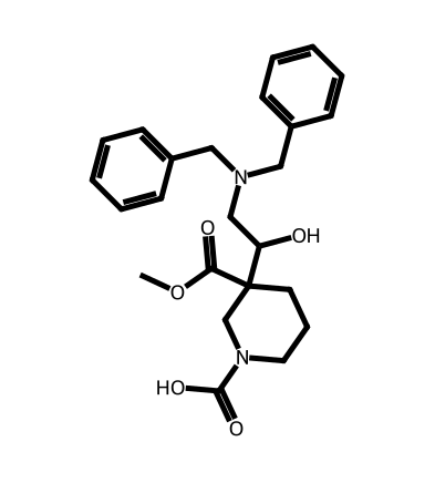 COC(=O)C1(C(O)CN(Cc2ccccc2)Cc2ccccc2)CCCN(C(=O)O)C1